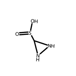 O=S(O)C1NN1